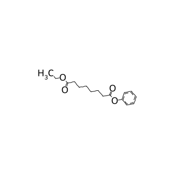 CCOC(=O)CCCCCCC(=O)Oc1ccccc1